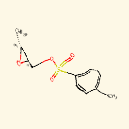 Cc1ccc(S(=O)(=O)OC[C@H]2O[C@@H]2C)cc1